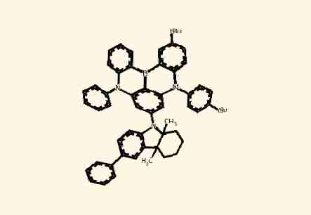 CC(C)(C)c1ccc(N2c3ccc(C(C)(C)C)cc3B3c4ccccc4N(c4ccccc4)c4cc(N5c6ccc(-c7ccccc7)cc6C6(C)CCCCC56C)cc2c43)cc1